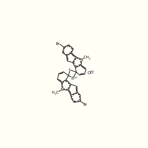 Cn1c2c(c3c1=c1ccc(Br)cc1=C3)[C]1(C=CC=2)S[C]2(C=CC=c3c2c2c(n3C)=c3ccc(Br)cc3=C2)[Zr+2]1.[Cl-].[Cl-]